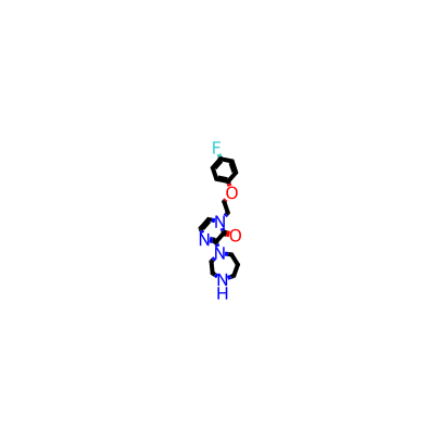 O=c1c(N2CCCNCC2)nccn1CCOc1ccc(F)cc1